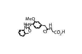 COc1cc(CC(=O)NCC(=O)O)ccc1NC(=O)Nc1ccccc1C